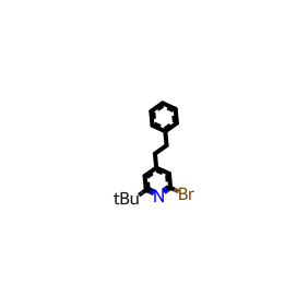 CC(C)(C)c1cc(CCc2ccccc2)cc(Br)n1